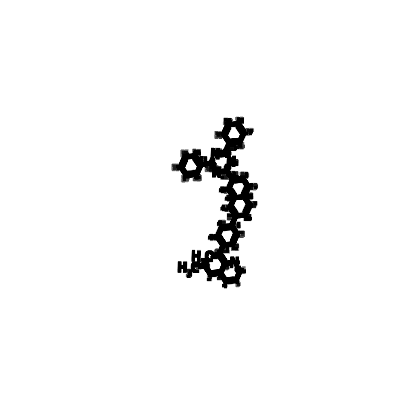 CC/C=c1/cccn/c1=C(/C)c1ccc(-c2ccc3ccc(-c4nc(-c5ccccc5)nc(-c5ccccc5)n4)cc3c2)cc1